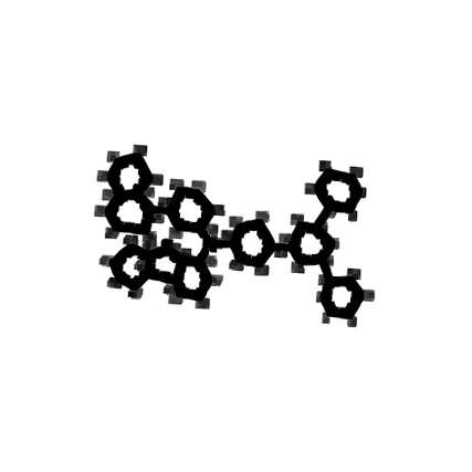 c1ccc(-c2cc(-c3ccccc3)cc(-c3ccc(N(c4cccc(-c5cccc6ccccc56)c4)c4cccc5c4sc4ccccc45)cc3)c2)cc1